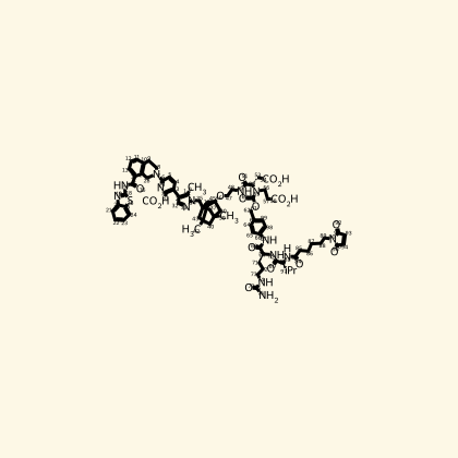 Cc1c(-c2ccc(N3CCc4cccc(C(=O)Nc5nc6ccccc6s5)c4C3)nc2C(=O)O)cnn1CC12CC3(C)CC(C)(C1)CC(OCCNC(=O)[C@H](CC(=O)O)N(CCC(=O)O)C(=O)OCc1ccc(NC(=O)[C@H](CCCNC(N)=O)NC(=O)[C@@H](NC(=O)CCCCCN4C(=O)C=CC4=O)C(C)C)cc1)(C3)C2